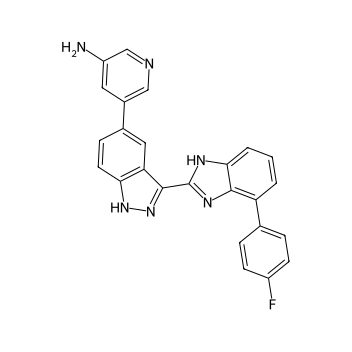 Nc1cncc(-c2ccc3[nH]nc(-c4nc5c(-c6ccc(F)cc6)cccc5[nH]4)c3c2)c1